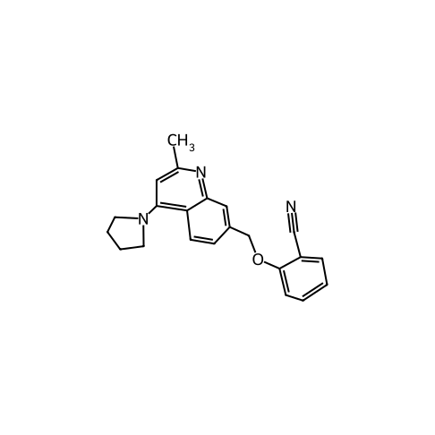 Cc1cc(N2CCCC2)c2ccc(COc3ccccc3C#N)cc2n1